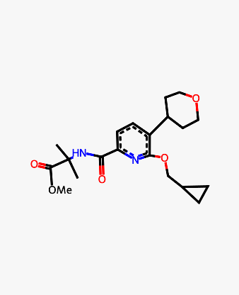 COC(=O)C(C)(C)NC(=O)c1ccc(C2CCOCC2)c(OCC2CC2)n1